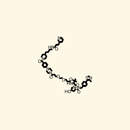 Cc1ncsc1-c1ccc(CNC(=O)[C@@H]2C[C@@H](O)CN2C(=O)[C@@H](NC(=O)CCOCCOCCC(=O)N2CCN(c3ccc(C(=O)N4CCC(CCCCNC(=O)/C=C/c5cccnc5)CC4)cc3)CC2)C(C)(C)C)cc1